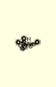 C=C(C)C(OC)(C(=O)OC(c1ccccc1)c1ccccc1)N1CC(NC(=O)COc2ccccc2)C1=O